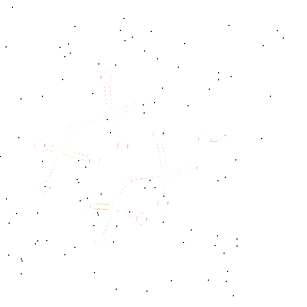 O=S(=O)([O-])OS(=O)(=O)[O-].O=S(=O)([O-])OS(=O)(=O)[O-].[Ce+4]